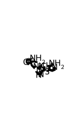 Nc1nccc(Sc2cnc(N3CCC4(CC3)COC[C@H]4N)n3cnnc23)c1Cl